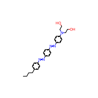 CCCCc1ccc(N=Nc2ccc(N=Nc3ccc(N(CCO)CCO)cc3)cc2)cc1